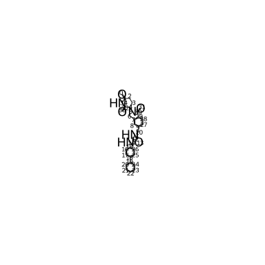 O=C1CCC(N2Cc3cc(CNC(=O)Nc4ccc(-c5ccccc5)cc4)ccc3C2=O)C(=O)N1